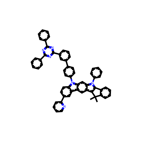 CC1(C)c2ccccc2-c2c1c1cc3c4cc(-c5ccccn5)ccc4n(-c4ccc(-c5cccc(-c6nc(-c7ccccc7)nc(-c7ccccc7)n6)c5)cc4)c3cc1n2-c1ccccc1